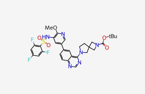 COc1ncc(-c2ccc3ncnc(N4CCC5(CN(C(=O)OC(C)(C)C)C5)C4)c3c2)cc1NS(=O)(=O)c1c(F)cc(F)cc1F